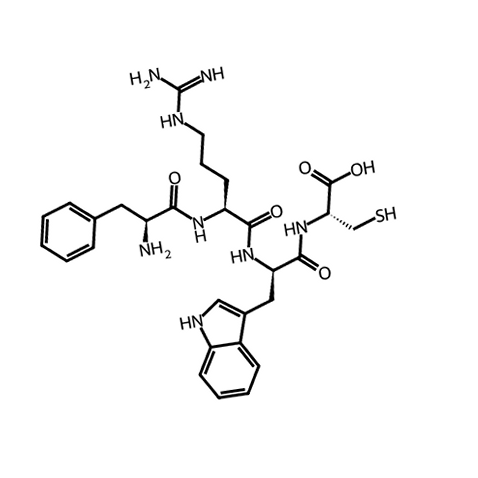 N=C(N)NCCC[C@H](NC(=O)[C@@H](N)Cc1ccccc1)C(=O)N[C@H](Cc1c[nH]c2ccccc12)C(=O)N[C@@H](CS)C(=O)O